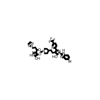 O=C(OC(CCn1nccn1)c1cc(O)[nH]n1)N1CCC(CCc2c(-c3ccc(C(F)(F)F)cn3)nn(-c3nc4cc(Br)ccc4[nH]3)c2O)CC1